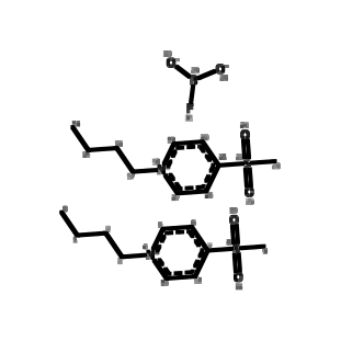 CCCC[n+]1ccc(S(C)(=O)=O)cc1.CCCC[n+]1ccc(S(C)(=O)=O)cc1.[O-]B([O-])F